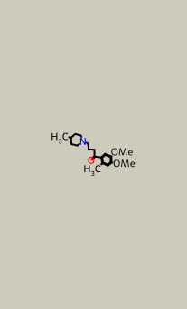 COc1cc(C)c(C(=O)CCCN2CCC(C)CC2)cc1OC